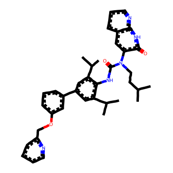 CC(C)CCN(C(=O)Nc1c(C(C)C)cc(-c2cccc(OCc3ccccn3)c2)cc1C(C)C)c1cc2cccnc2[nH]c1=O